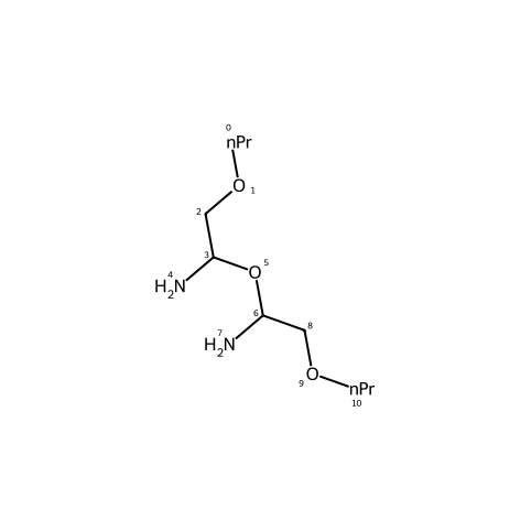 CCCOCC(N)OC(N)COCCC